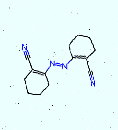 N#CC1=C(/N=N/C2=C(C#N)CCCC2)CCCC1